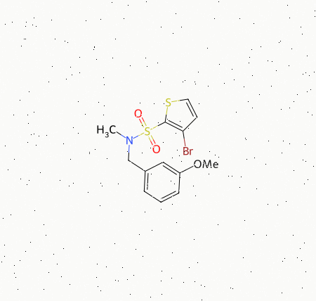 COc1cccc(CN(C)S(=O)(=O)c2sccc2Br)c1